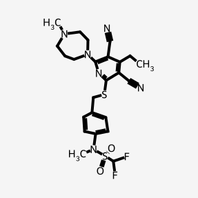 CCc1c(C#N)c(SCc2ccc(N(C)S(=O)(=O)C(F)F)cc2)nc(N2CCCN(C)CC2)c1C#N